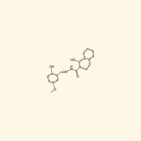 COc1ccc(O)c(/C=N/NC(=O)c2ccc3ccccc3c2O)c1